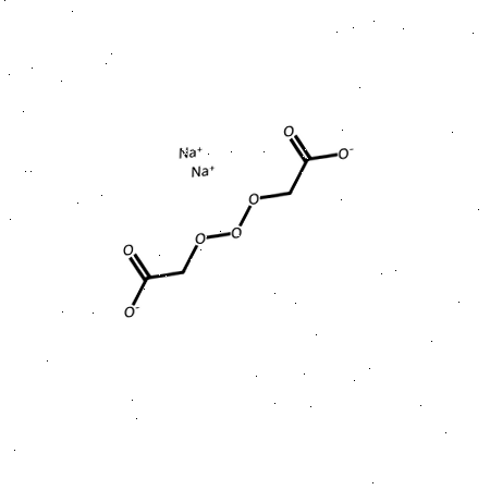 O=C([O-])COOOCC(=O)[O-].[Na+].[Na+]